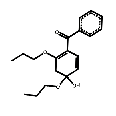 CCCOC1=C(C(=O)c2ccccc2)C=CC(O)(OCCC)C1